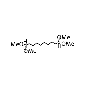 CO[SiH](CCCCCCCC[SiH](OC)OC)OC